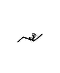 CCCCCCCCCC/C=C\CCCCCCCCCC(=O)O[C@H](CO/C=C\CCCCCCCCCCCCCC)COP(=O)(O)OC[C@@H](O)CO